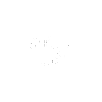 COc1ccc2[nH]c(C)c(CC(=O)N[C@@H](CCCCCC(C)=O)C(=O)NCc3cnc4ccccc4c3)c2c1